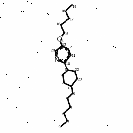 CCCCCCC1CCC(c2ccc(OCCCCC)cn2)CC1